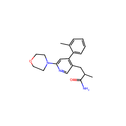 Cc1ccccc1-c1cc(N2CCOCC2)ncc1CC(C)C(N)=O